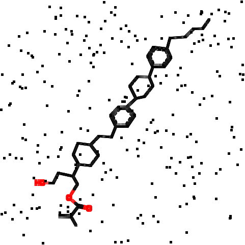 C=C(C)C(=O)OCC(CCO)C1CCC(CCc2ccc(C3CCC(c4ccc(CCCCC)cc4)CC3)cc2)CC1